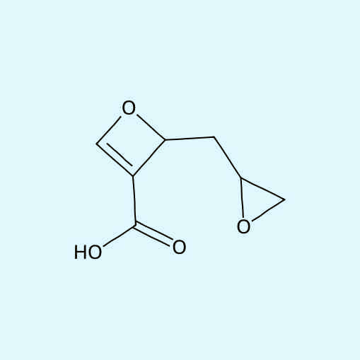 O=C(O)C1=COC1CC1CO1